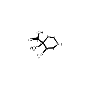 CC1(C(=O)O)CCNCC1O